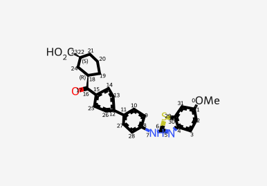 COc1ccc2nc(Nc3ccc(-c4ccc(C(=O)[C@@H]5CCC[C@H](C(=O)O)C5)cc4)cc3)sc2c1